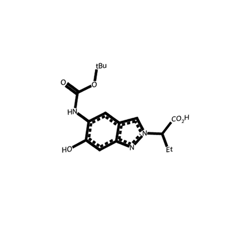 CCC(C(=O)O)n1cc2cc(NC(=O)OC(C)(C)C)c(O)cc2n1